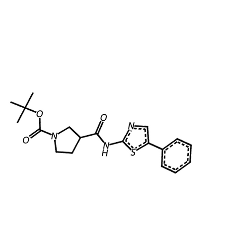 CC(C)(C)OC(=O)N1CCC(C(=O)Nc2ncc(-c3ccccc3)s2)C1